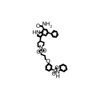 NC(=O)c1cc(-c2ccccc2)cc2c(C3CCN(S(=O)(=O)CCCOc4cccc(S(=O)(=O)Nc5ccccc5)c4)CC3)c[nH]c12